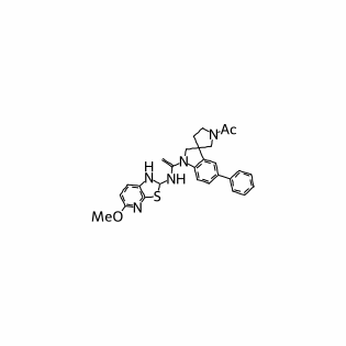 C=C(NC1Nc2ccc(OC)nc2S1)N1CC2(CCN(C(C)=O)C2)c2cc(-c3ccccc3)ccc21